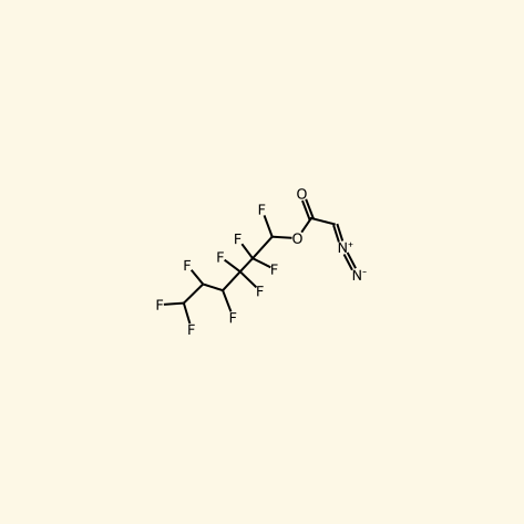 [N-]=[N+]=CC(=O)OC(F)C(F)(F)C(F)(F)C(F)C(F)C(F)F